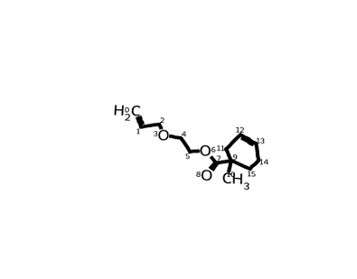 C=CCOCCOC(=O)C1(C)CC=CCC1